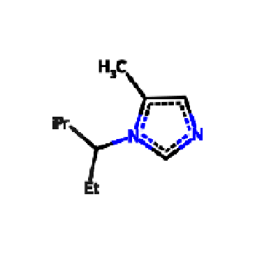 CCC(C(C)C)n1cncc1C